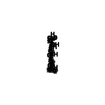 O=CNc1cc([C@@H](O)CNCC2CCC(NC(=O)CCN3CCC(OC(=O)Nc4ccccc4-c4ccccc4)CC3)CC2)ccc1O